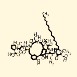 CCCCCCCCCCCCCCCC(=O)N(C)[C@H](CO)C(=O)N[C@H](C)C(=O)NCC(=O)N(C)[C@@H]1C(=O)N[C@@H](C)C(=O)N[C@H](C(=O)N[C@@H](C)C(=O)N2CCC[C@H]2C(=O)O)Cc2ccc(O)c(c2)C2=C(O)CCC1=C2